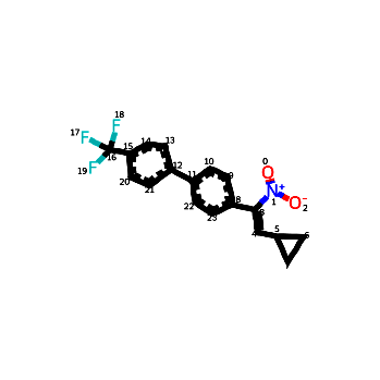 O=[N+]([O-])C(=CC1CC1)c1ccc(-c2ccc(C(F)(F)F)cc2)cc1